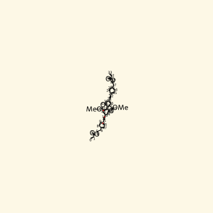 C=CC(=O)OCCc1ccc(C#Cc2ccc(-c3ccc(C#Cc4ccc(CCOC(=O)C=C)cc4)cc3C(=O)OC)c(C(=O)OC)c2)cc1